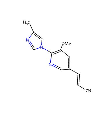 COc1cc(C=CC#N)cnc1-n1cnc(C)c1